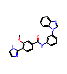 COc1cc(C(=O)Nc2cccc(-n3cnc4ccccc43)c2)ccc1-c1ncc[nH]1